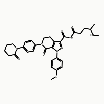 CNC(C)CCC(=O)NC(=O)c1nn(-c2ccc(OC)cc2)c2c1CCN(c1ccc(N3CCCCC3=O)cc1)C2=O